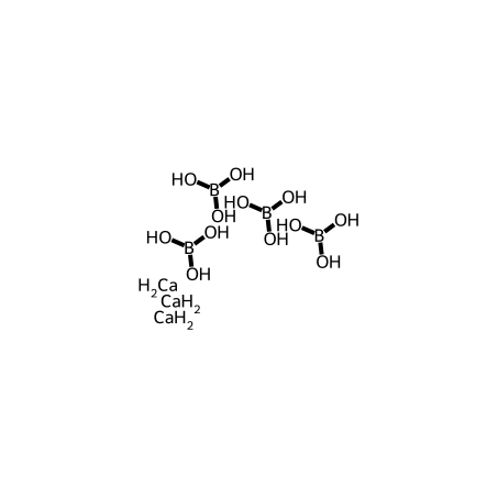 OB(O)O.OB(O)O.OB(O)O.OB(O)O.[CaH2].[CaH2].[CaH2]